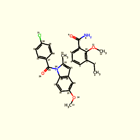 CCc1cccc(C(N)=O)c1OC.COc1ccc2c(c1)cc(C)n2C(=O)c1ccc(Cl)cc1